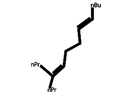 CCCC/C=C/CCC=C(CCC)CCC